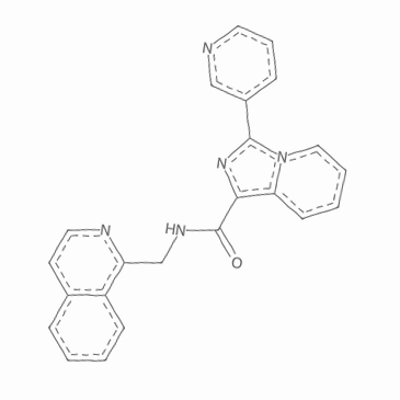 O=C(NCc1nccc2ccccc12)c1nc(-c2cccnc2)n2ccccc12